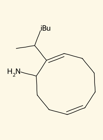 CCC(C)C(C)/C1=C/CCC/C=C\CCC1N